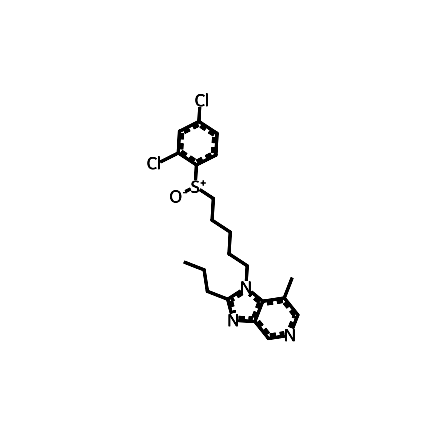 CCCc1nc2cncc(C)c2n1CCCCC[S+]([O-])c1ccc(Cl)cc1Cl